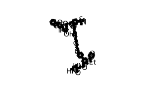 CCN(c1cc(-c2ccc(OCCCOCCCOCCCOc3cc(-c4scnc4C)ccc3CNC(=O)C3C[C@@H](O)CN3C(=O)[C@H](C(C)C)N3Cc4ccccc4C3=O)cc2)cc(C(=O)NCc2c(C)cc(C)[nH]c2=O)c1C)C1CCOCC1